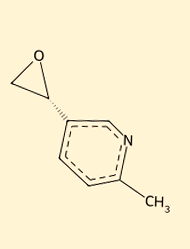 Cc1ccc([C@@H]2CO2)cn1